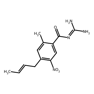 C/C=C/Cc1cc(C)c(C(=O)N=C(N)N)cc1[N+](=O)[O-]